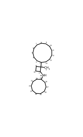 CC1(C2CCCCCCCCCCCC2)CCC1NC1CCCCCCCCC1